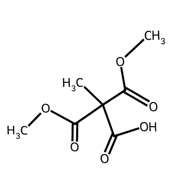 COC(=O)C(C)(C(=O)O)C(=O)OC